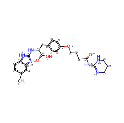 Cc1ccc2[nH]c(N[C@@H](Cc3ccc(OCCCC(=O)NC4=NCCCN4)cc3)C(=O)O)nc2c1